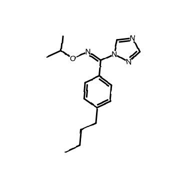 CCCCc1ccc(/C(=N\OC(C)C)n2cncn2)cc1